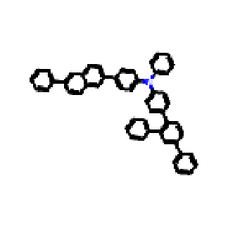 c1ccc(-c2ccc(-c3ccc(N(c4ccccc4)c4ccc(-c5ccc6cc(-c7ccccc7)ccc6c5)cc4)cc3)c(-c3ccccc3)c2)cc1